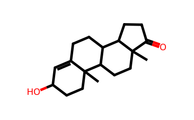 CC12CCC3C(CCC4=CC(O)CCC43C)C1CCC2=O